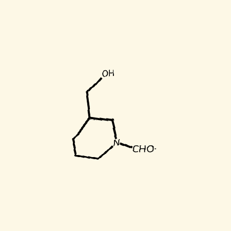 O=[C]N1CCCC(CO)C1